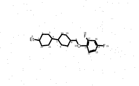 CCC1CCC(C2CCC(COc3ccc(F)cc3F)CC2)CC1